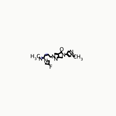 C/N=C(\C=C/Cn1cc2c(n1)CN(c1cnn(C)c1)C2=O)N1CC(F)C1